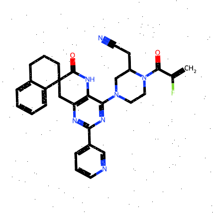 C=C(F)C(=O)N1CCN(c2nc(-c3cccnc3)nc3c2NC(=O)C2(CCCc4ccccc42)C3)CC1CC#N